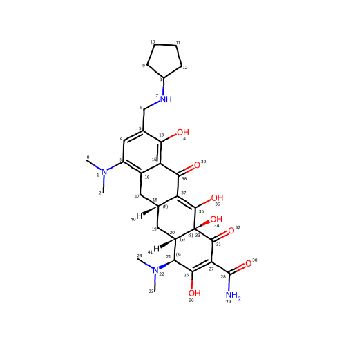 CN(C)c1cc(CNC2CCCC2)c(O)c2c1C[C@H]1C[C@H]3[C@H](N(C)C)C(O)=C(C(N)=O)C(=O)[C@@]3(O)C(O)=C1C2=O